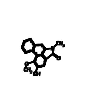 COc1c(O)cc2c3c(cc4ccccc4c13)N(C)C2=O